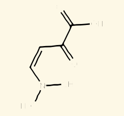 CN(C)/C=C\C(=O)C(=O)O